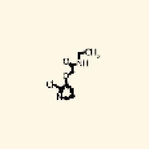 [CH2]CNC(=O)COc1cccnc1Cl